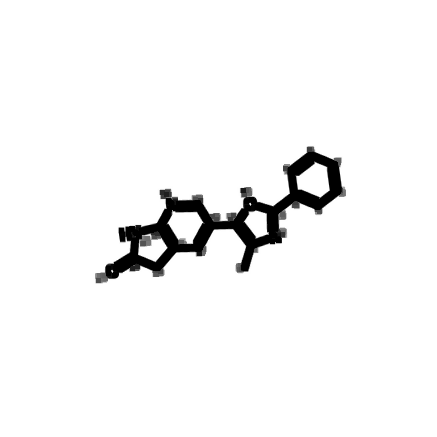 Cc1nc(-c2ccccc2)oc1-c1cnc2c(c1)CC(=O)N2